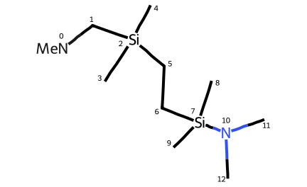 CNC[Si](C)(C)CC[Si](C)(C)N(C)C